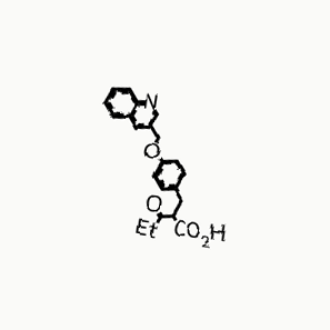 CCC(=O)C(Cc1ccc(OCc2cnc3ccccc3c2)cc1)C(=O)O